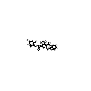 O=C(NCc1c(F)cc(F)cc1F)c1cn2c(c(O)c1=O)C(=O)N1C3CCC(C3)SC1C2